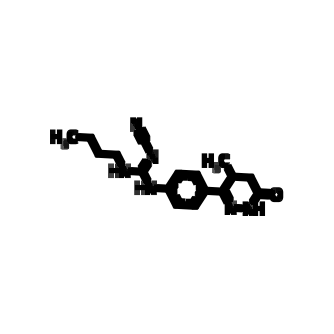 CCCCNC(=NC#N)Nc1ccc(C2=NNC(=O)CC2C)cc1